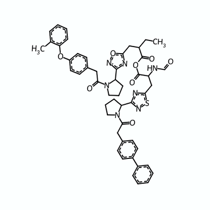 CCC(Cc1nc(C2CCCN2C(=O)Cc2ccc(Oc3ccccc3C)cc2)no1)C(=O)OC(=O)C(Cc1nc(C2CCCN2C(=O)Cc2ccc(-c3ccccc3)cc2)ns1)NC=O